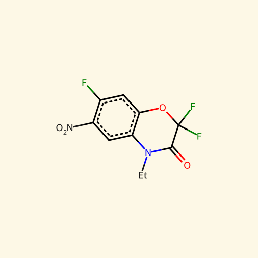 CCN1C(=O)C(F)(F)Oc2cc(F)c([N+](=O)[O-])cc21